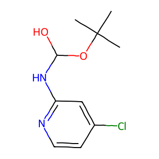 CC(C)(C)OC(O)Nc1cc(Cl)ccn1